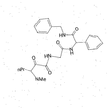 CCCC(NC)C(=O)C(=O)NCC(=O)NC(C(=O)NCc1ccccc1)c1ccccc1